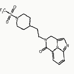 O=C1c2cccc3ncc(n23)CN1CCC1CCN(S(=O)(=O)C(F)(F)F)CC1